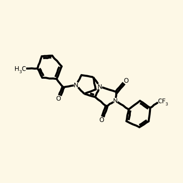 Cc1cccc(C(=O)N2CC3CC2=C2C(=O)N(c4cccc(C(F)(F)F)c4)C(=O)N23)c1